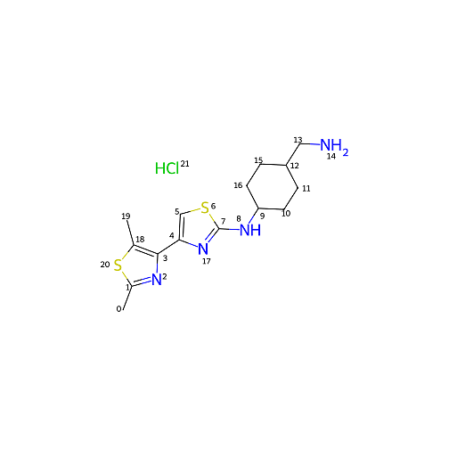 Cc1nc(-c2csc(NC3CCC(CN)CC3)n2)c(C)s1.Cl